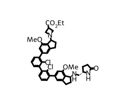 CCOC(=O)C1CN(C2CCc3cc(-c4cccc(-c5cccc(-c6cc7c(c(OC)c6)[C@@H](NC[C@@H]6CCC(=O)N6)CC7)c5Cl)c4Cl)cc(OC)c32)C1